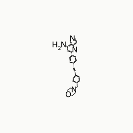 Nc1cc(-c2ccc(C#Cc3ccc(CN4CCOCC4)cc3)cc2)nc2ccncc12